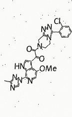 COc1cnc(-n2cnc(C)n2)c2[nH]cc(C(=O)C(=O)N3CCn4c(nnc4-c4ccccc4Cl)C3)c12